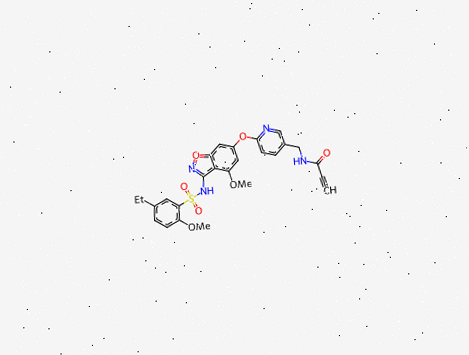 C#CC(=O)NCc1ccc(Oc2cc(OC)c3c(NS(=O)(=O)c4cc(CC)ccc4OC)noc3c2)nc1